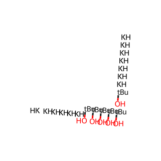 CC(C)(C)O.CC(C)(C)O.CC(C)(C)O.CC(C)(C)O.CC(C)(C)O.CC(C)(C)O.[KH].[KH].[KH].[KH].[KH].[KH].[KH].[KH].[KH].[KH].[KH].[KH].[KH]